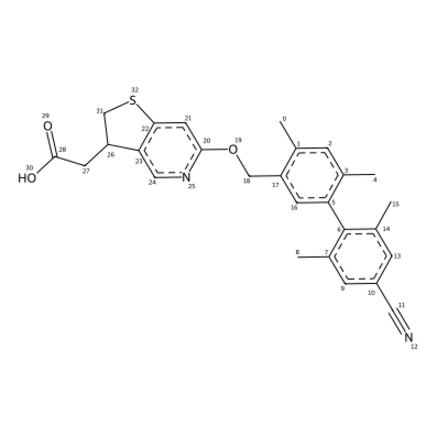 Cc1cc(C)c(-c2c(C)cc(C#N)cc2C)cc1COc1cc2c(cn1)C(CC(=O)O)CS2